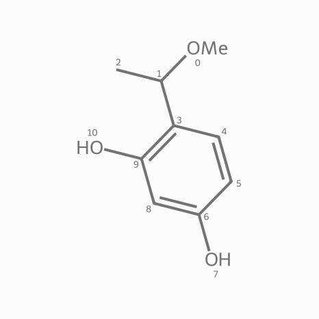 COC(C)c1ccc(O)cc1O